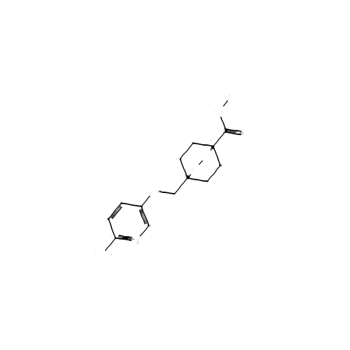 COC(=O)C12CCC(COc3ccc(Br)nc3)(CC1)CC2